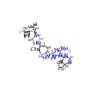 Nc1nc(Nc2ccc(N3CCN([C@H]4C[C@@H]5CC[C@H]4C5)CC3)c(Cl)c2)nn1-c1ncnc2ccsc12